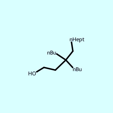 CCCCCCCCC(CCO)(CCCC)CCCC